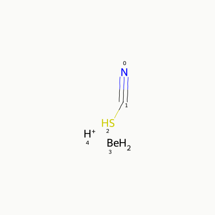 N#CS.[BeH2].[H+]